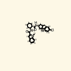 CC1C[C@H](NC(=O)[C@@H]2CCCC[C@@H]2NC(=O)c2cc3ccccc3n2C)CC1(N)c1ccc(Cl)cc1